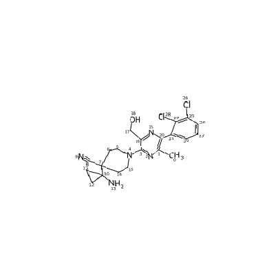 Cc1nc(N2CCC(C#N)(C3(N)CC3)CC2)c(CO)nc1-c1cccc(Cl)c1Cl